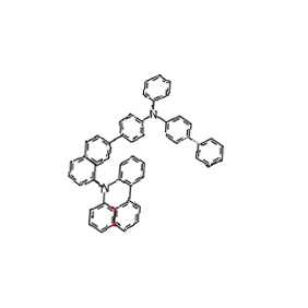 c1ccc(-c2ccc(N(c3ccccc3)c3ccc(-c4ccc5cccc(N(c6ccccc6)c6ccccc6-c6ccccc6)c5c4)cc3)cc2)cc1